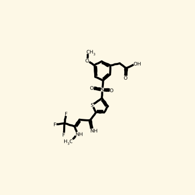 CN/C(=C\C(=N)c1ccc(S(=O)(=O)c2cc(CC(=O)O)cc(OC)c2)s1)C(F)(F)F